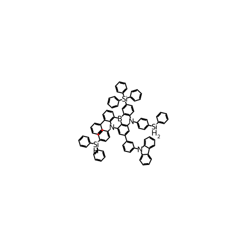 c1ccc([SiH2]c2ccc(N3c4ccc([Si](c5ccccc5)(c5ccccc5)c5ccccc5)cc4B4c5cccc(-c6ccccc6)c5N(c5ccc([SiH](c6ccccc6)c6ccccc6)cc5)c5cc(-c6cccc(-n7c8ccccc8c8ccccc87)c6)cc3c54)cc2)cc1